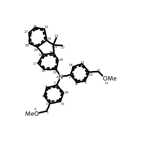 COCc1ccc(N(c2ccc(COC)cc2)c2ccc3c(c2)C(C)(C)c2ccccc2-3)cc1